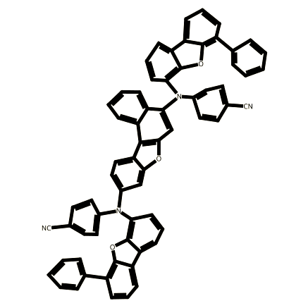 N#Cc1ccc(N(c2ccc3c(c2)oc2cc(N(c4ccc(C#N)cc4)c4cccc5c4oc4c(-c6ccccc6)cccc45)c4ccccc4c23)c2cccc3c2oc2c(-c4ccccc4)cccc23)cc1